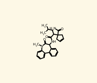 CC(C)CC(C(=O)NC1C(=O)N(C)c2ccccc2-c2ccccc21)C1(C(N)=O)CC=CC1